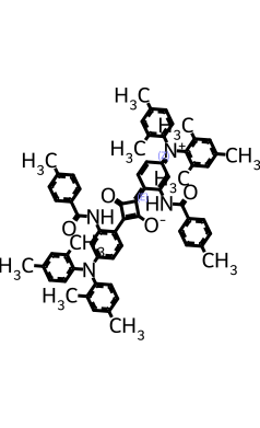 Cc1ccc(C(=O)NC2=CC(=[N+](/c3ccc(C)cc3C)c3c(C)cc(C)cc3C)/C=CC/2=C2\C(=O)C(c3ccc(N(c4ccc(C)cc4C)c4ccc(C)cc4C)cc3NC(=O)c3ccc(C)cc3)=C2[O-])cc1